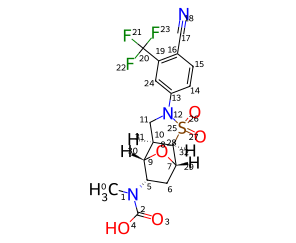 CN(C(=O)O)[C@H]1C[C@@H]2O[C@H]1[C@H]1CN(c3ccc(C#N)c(C(F)(F)F)c3)S(=O)(=O)[C@H]12